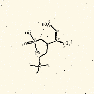 C[N+](C)(C)CCC(CP(=O)(O)O)/C(=C\C(=O)O)C(=O)O